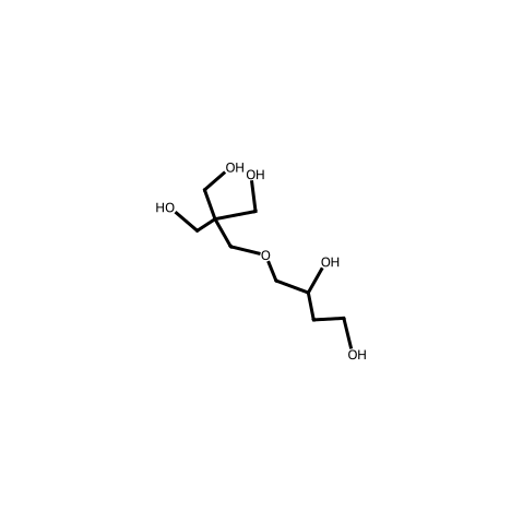 OCCC(O)COCC(CO)(CO)CO